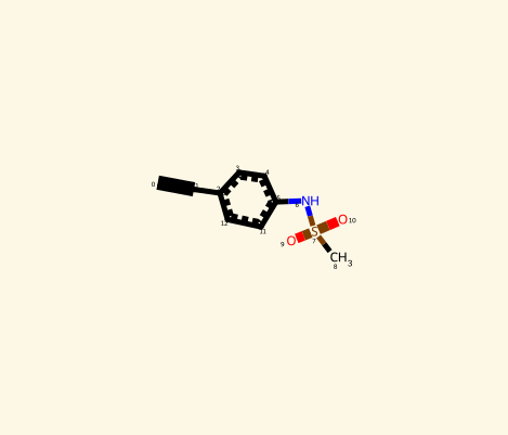 [C]#Cc1ccc(NS(C)(=O)=O)cc1